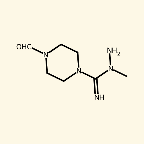 CN(N)C(=N)N1CCN(C=O)CC1